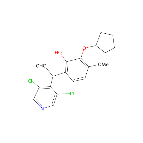 COc1ccc(C(C=O)c2c(Cl)cncc2Cl)c(O)c1OC1CCCC1